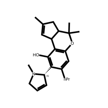 CCCc1cc2c(c(O)c1[C@@H]1C=CCN1C)C1C=C(C)CC1C(C)(C)O2